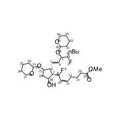 CCCCC(F)[C@@H](/C=C/[C@@H]1[C@@H](C(F)/C=C\CCCC(=O)OC)[C@@H](O)C[C@H]1OC1CCCCO1)OC1CCCCO1